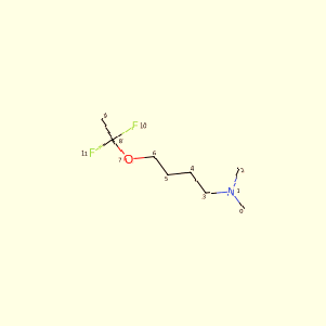 CN(C)CCCCOC(C)(F)F